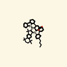 CCCCc1ccc(N2C3=C(B4c5c(cc(C)cc52)-c2cccc5c6ccccc6n4c25)C(C)(C)c2cc4c(cc23)C(C)(C)CCC4(C)C)c(-c2ccccc2)c1